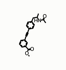 COC(=O)c1cccc(C#Cc2ccc(CC(C)NC(C)=O)cc2)c1